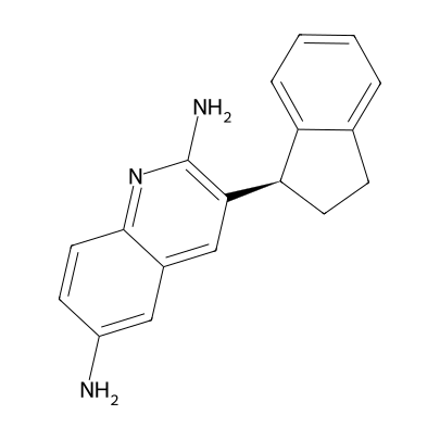 Nc1ccc2nc(N)c([C@@H]3CCc4ccccc43)cc2c1